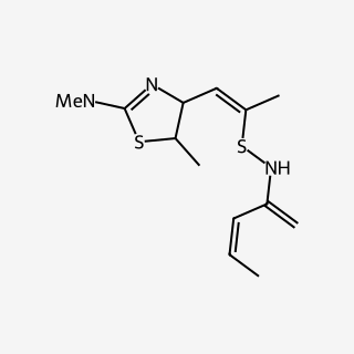 C=C(/C=C\C)NSC(C)=CC1N=C(NC)SC1C